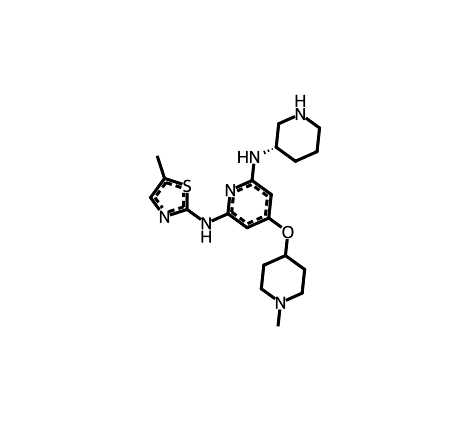 Cc1cnc(Nc2cc(OC3CCN(C)CC3)cc(N[C@H]3CCCNC3)n2)s1